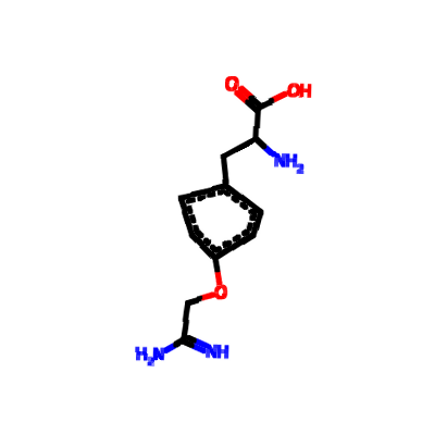 N=C(N)COc1ccc(CC(N)C(=O)O)cc1